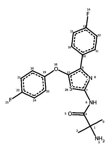 CC(C)(N)C(=O)Nc1nc(-c2ccc(F)cc2)c(Oc2ccc(F)cc2)s1